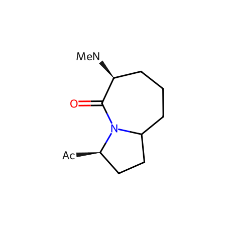 CN[C@H]1CCCC2CC[C@@H](C(C)=O)N2C1=O